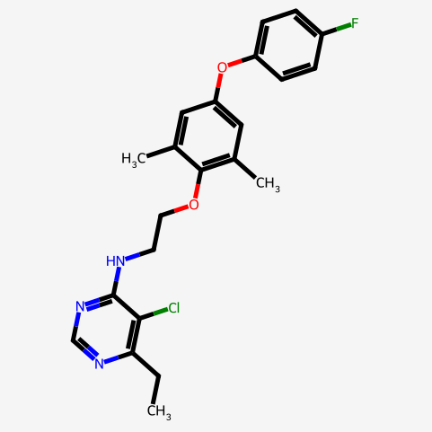 CCc1ncnc(NCCOc2c(C)cc(Oc3ccc(F)cc3)cc2C)c1Cl